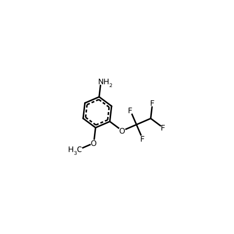 COc1ccc(N)cc1OC(F)(F)C(F)F